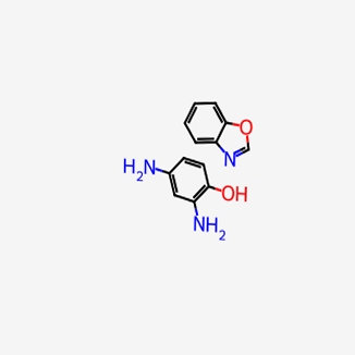 Nc1ccc(O)c(N)c1.c1ccc2ocnc2c1